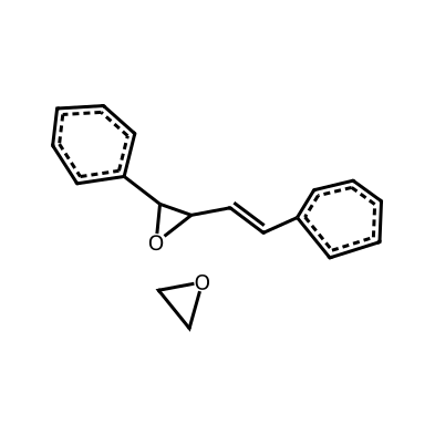 C(=CC1OC1c1ccccc1)c1ccccc1.C1CO1